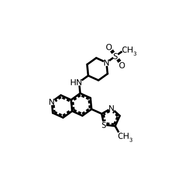 Cc1cnc(-c2cc(NC3CCN(S(C)(=O)=O)CC3)c3cnccc3c2)s1